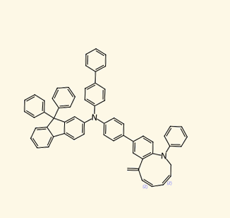 C=C1/C=C\C=C/CN(c2ccccc2)c2ccc(-c3ccc(N(c4ccc(-c5ccccc5)cc4)c4ccc5c(c4)C(c4ccccc4)(c4ccccc4)c4ccccc4-5)cc3)cc21